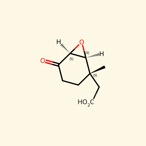 C[C@@]1(CC(=O)O)CCC(=O)[C@H]2O[C@H]21